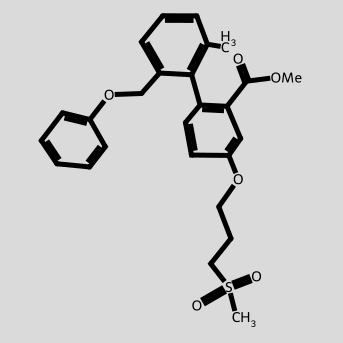 COC(=O)c1cc(OCCCS(C)(=O)=O)ccc1-c1c(C)cccc1COc1ccccc1